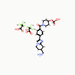 NCC1CCn2cc(-c3ccc(C(=O)N4CCC(OC(=O)O)CC4)cc3)nc2C1.O=C(O)C(F)(F)F.O=C(O)C(F)(F)F